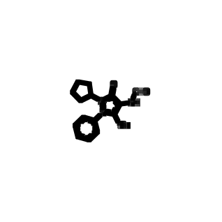 CC(C)(C)c1c(NC=O)c(=O)n(C2CCCC2)n1-c1ccccc1